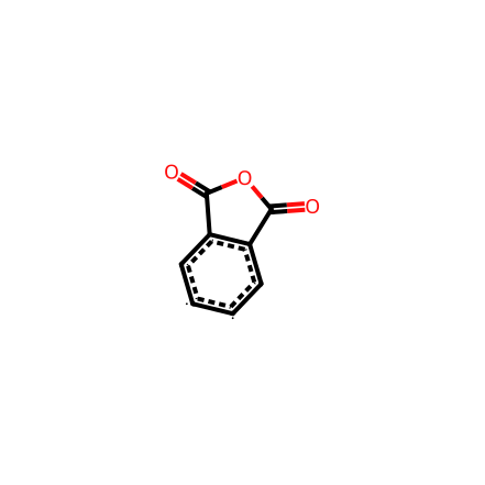 O=C1OC(=O)c2c[c][c]cc21